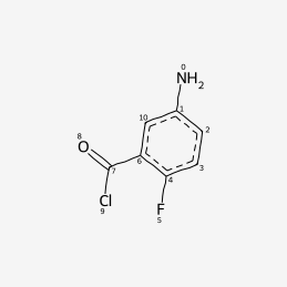 Nc1ccc(F)c(C(=O)Cl)c1